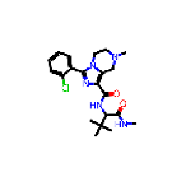 CNC(=O)C(NC(=O)c1nc(-c2ccccc2Cl)n2c1CN(C)CC2)C(C)(C)C